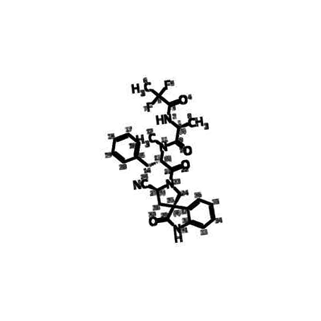 C[C@H](NC(=O)C(C)(F)F)C(=O)N(C)[C@@H](Cc1ccccc1)C(=O)N1C[C@]2(C[C@H]1C#N)C(=O)Nc1ccccc12